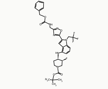 CC(C)(C)OC(=O)N1CC[C@@H](Nc2cccc3c2cc(-c2nc(CNC(=O)OCc4ccccc4)no2)n3CC(F)(F)F)[C@@H](F)C1